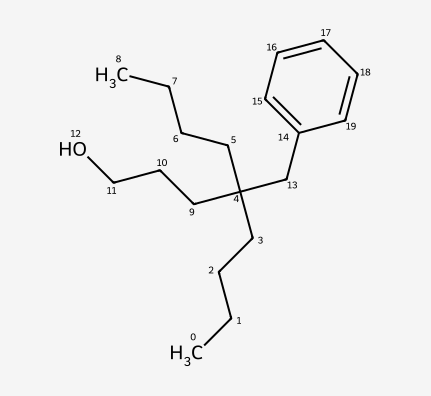 CCCCC(CCCC)(CCCO)Cc1ccccc1